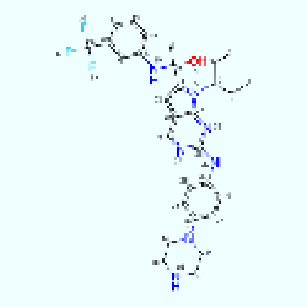 CCC(CC)n1c(C(C)(O)Nc2cccc(C(F)(F)F)c2)cc2cnc(Nc3ccc(N4CCNCC4)cc3)nc21